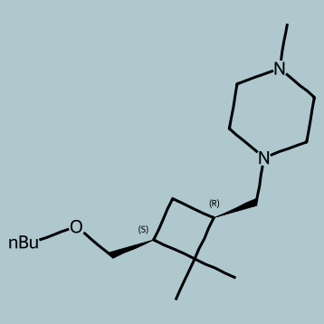 CCCCOC[C@H]1C[C@@H](CN2CCN(C)CC2)C1(C)C